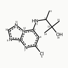 CC(Nc1cc(Cl)nc2ncnn12)C(C)(C)O